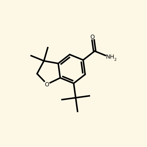 CC(C)(C)c1cc(C(N)=O)cc2c1OCC2(C)C